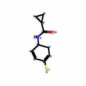 O=C(NC1C=CC(S)=CC1)C1CC1